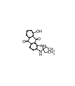 CCC1(CC)Nc2ccc3c(c2N1)C(=O)c1c(O)cccc1C3=O